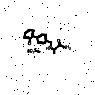 CC(NCc1ccc(-c2ccccc2Cl)cc1)C(N)=O.CS(=O)(=O)O